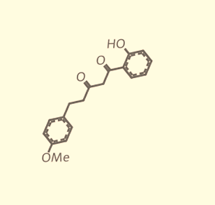 COc1ccc(CCC(=O)CC(=O)c2ccccc2O)cc1